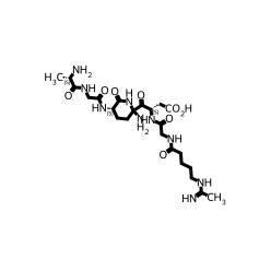 CC(=N)NCCCCC(=O)NCC(=O)N[C@@H](CC(=O)O)C(=O)C1(N)CC[C@H](NC(=O)CNC(=O)[C@H](C)N)C(=O)N1